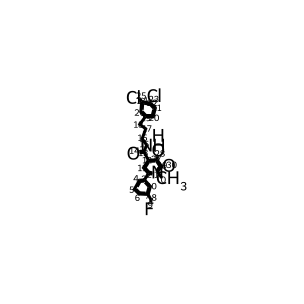 Cn1c(-c2cccc(CF)c2)cc(C(=O)NCCCc2ccc(Cl)c(Cl)c2)c(O)c1=O